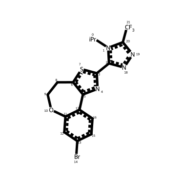 CC(C)n1c(-c2nc3c(s2)CCOc2cc(Br)ccc2-3)nnc1C(F)(F)F